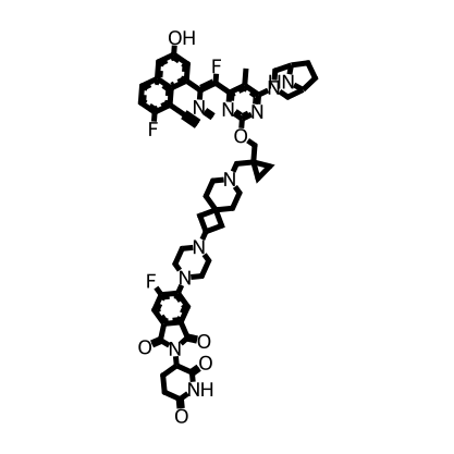 C#Cc1c(F)ccc2cc(O)cc(/C(N=C)=C(\F)c3nc(OCC4(CN5CCC6(CC5)CC(N5CCN(c7cc8c(cc7F)C(=O)N(C7CCC(=O)NC7=O)C8=O)CC5)C6)CC4)nc(N4CC5CCC(C4)N5)c3C)c12